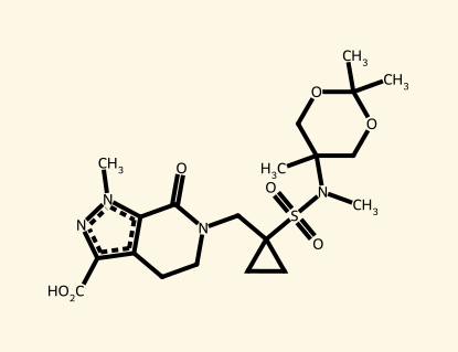 CN(C1(C)COC(C)(C)OC1)S(=O)(=O)C1(CN2CCc3c(C(=O)O)nn(C)c3C2=O)CC1